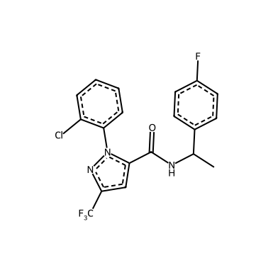 CC(NC(=O)c1cc(C(F)(F)F)nn1-c1ccccc1Cl)c1ccc(F)cc1